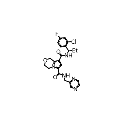 CC[C@@H](NC(=O)c1cc(C(=O)NCc2cnccn2)n2c1COCC2)c1ccc(F)cc1Cl